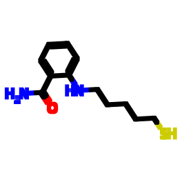 NC(=O)c1ccccc1NCCCCCS